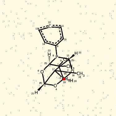 CC1(C)[C@@H]2O[C@@H]3O[C@H]1P(c1ccccc1)[C@H](O2)C3(C)C